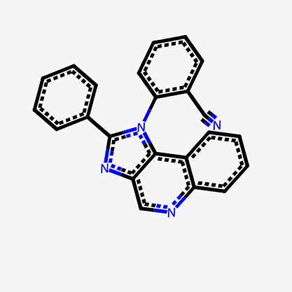 N#Cc1ccccc1-n1c(-c2ccccc2)nc2cnc3ccccc3c21